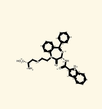 N[C@@H](CSCCN1C(=O)[C@@H](NC(=O)c2cc3ccccc3[nH]2)N=C(c2ccccc2)c2ccccc21)C(=O)O